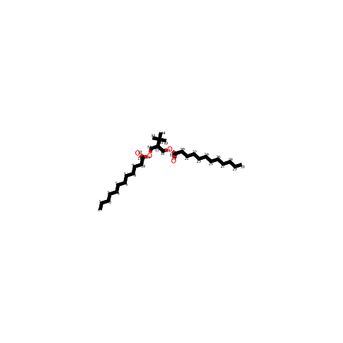 CCCCCCCCCCCC(=O)OCC(COC(=O)CCCCCCCCCCC)C(C)(C)C